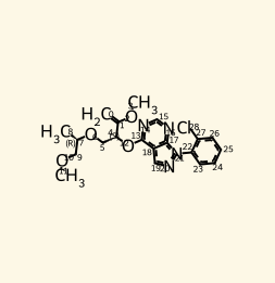 C=C(OC)[C@H](CO[C@H](C)COC)Oc1ncnc2c1cnn2-c1ccccc1Cl